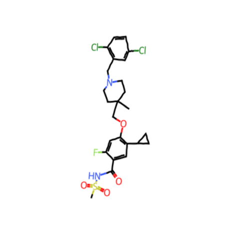 CC1(COc2cc(F)c(C(=O)NS(C)(=O)=O)cc2C2CC2)CCN(Cc2cc(Cl)ccc2Cl)CC1